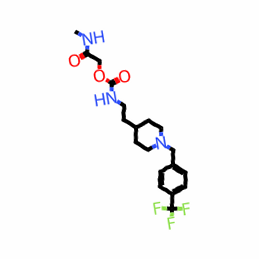 CNC(=O)COC(=O)NCCC1CCN(Cc2ccc(C(F)(F)F)cc2)CC1